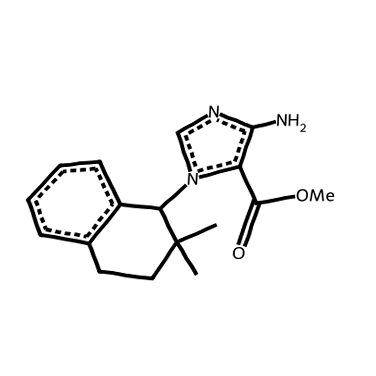 COC(=O)c1c(N)ncn1C1c2ccccc2CCC1(C)C